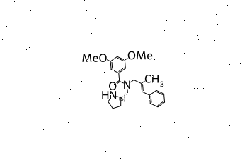 COc1cc(OC)cc(C(=O)N(CC(C)=Cc2ccccc2)C[C@@H]2CCCN2)c1